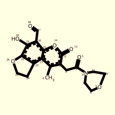 Cc1c(CC(=O)N2CCOCC2)c(=O)oc2c(C=O)c(O)c3c(c12)CCO3